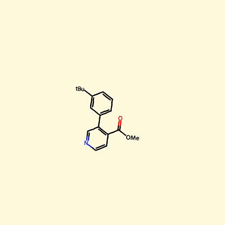 COC(=O)c1ccncc1-c1cccc(C(C)(C)C)c1